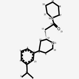 CC(C)c1cccc(C2CC[N][C@@H](CC(=O)N3CCCCC3)C2)c1